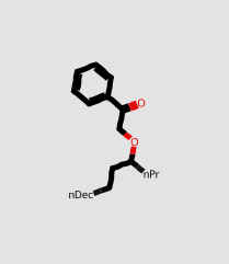 CCCCCCCCCCCCC(CCC)OCC(=O)c1ccccc1